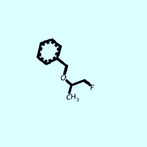 C[C](CF)OCc1ccccc1